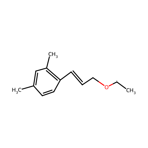 C[CH]OCC=Cc1ccc(C)cc1C